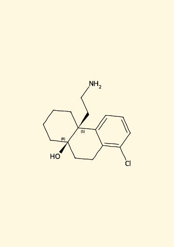 NCC[C@]12CCCC[C@@]1(O)CCc1c(Cl)cccc12